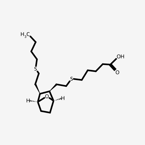 CCCCSCC[C@H]1[C@@H](CCSCCCCC(=O)O)[C@H]2CC[C@@H]1O2